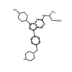 COCC(C)Nc1ncc2c(-c3ccc(CN4CCNCC4)cc3)cc(C3CCC(O)CC3)n2n1